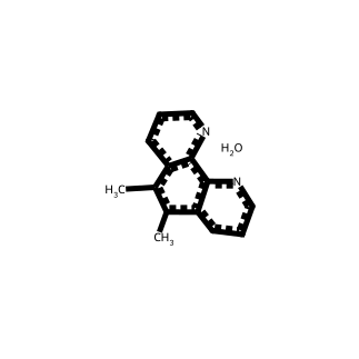 Cc1c(C)c2cccnc2c2ncccc12.O